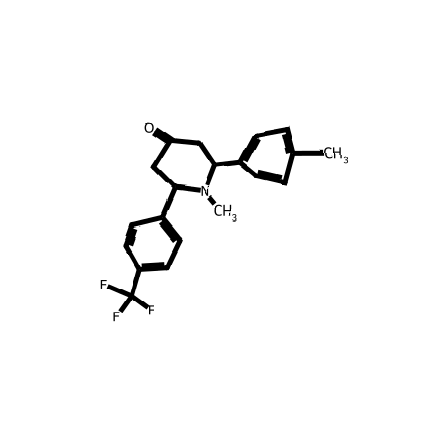 Cc1ccc(C2CC(=O)CC(c3ccc(C(F)(F)F)cc3)N2C)cc1